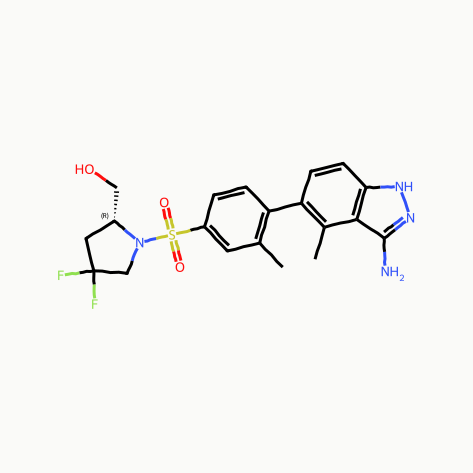 Cc1cc(S(=O)(=O)N2CC(F)(F)C[C@@H]2CO)ccc1-c1ccc2[nH]nc(N)c2c1C